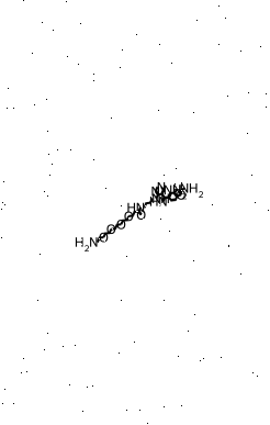 N=C(c1ccc2oc(N)nc2c1)c1c(N)ncnc1NCCCCNC(=O)CCOCCOCCOCCOCCN